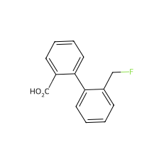 O=C(O)c1ccccc1-c1ccccc1CF